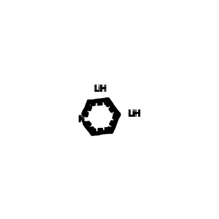 [LiH].[LiH].c1ccncc1